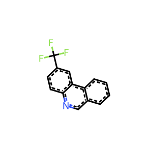 FC(F)(F)c1ccc2ncc3ccccc3c2c1